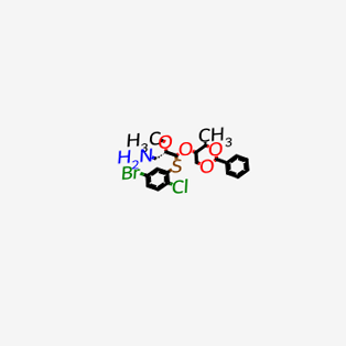 CO[C@@H](CN)C(OC1COC(c2ccccc2)O[C@@H]1C)Sc1cc(Br)ccc1Cl